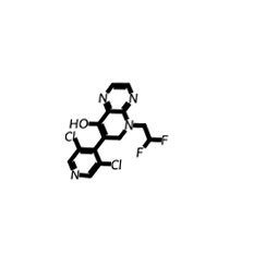 OC1=C(c2c(Cl)cncc2Cl)CN(CC(F)F)c2nccnc21